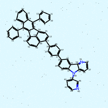 c1ccc(-c2c3c(c(-c4ccccc4)c4ccccc24)-c2ccc(-c4ccc(-c5ccc6c(c5)c5ncccc5n6-c5cccnc5)cc4)c4cccc-3c24)cc1